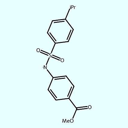 COC(=O)c1ccc([N]S(=O)(=O)c2ccc(C(C)C)cc2)cc1